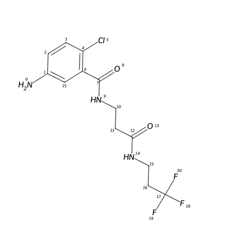 Nc1ccc(Cl)c(C(=O)NCCC(=O)NCCC(F)(F)F)c1